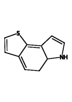 C1=CC2=c3sccc3=CCC2N1